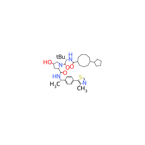 Cc1ncsc1-c1ccc([C@H](C)NC(=O)C2C[C@@H](O)CN2C(=O)[C@@H](NC(=O)C2CCCCC(C3CCCC3)CCC2)C(C)(C)C)cc1